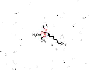 CCCCC/C=C/C(OCC)(OCC)OCC